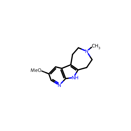 COc1cnc2[nH]c3c(c2c1)CCN(C)CC3